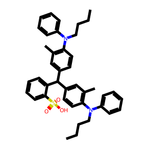 CCCCN(c1ccccc1)c1ccc(C(c2ccc(N(CCCC)c3ccccc3)c(C)c2)c2ccccc2S(=O)(=O)O)cc1C